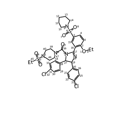 CCOc1ccc(S(=O)(=O)N2CCCCC2)cc1C1=NC(c2ccc(Cl)cc2)C(c2ccc(Cl)cc2)N1C(=O)N1CCN(S(=O)(=O)CC)CC1